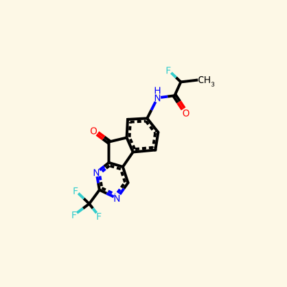 CC(F)C(=O)Nc1ccc2c(c1)C(=O)c1nc(C(F)(F)F)ncc1-2